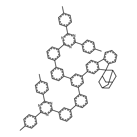 Cc1ccc(-c2nc(-c3ccc(C)cc3)nc(-c3cccc(-c4cccc(-c5cc(-c6cccc(-c7cccc(-c8nc(-c9ccc(C)cc9)nc(-c9ccc(C)cc9)n8)c7)c6)cc(-c6ccc7c(c6)C6(c8ccccc8-7)C7CC8CC(C7)CC6C8)c5)c4)c3)n2)cc1